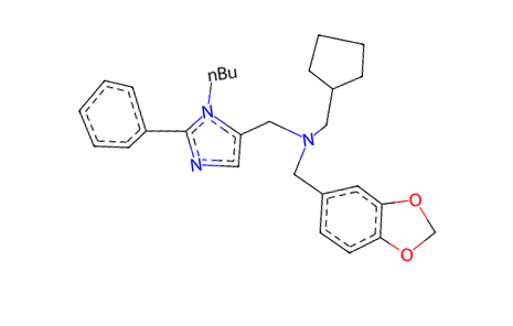 CCCCn1c(CN(Cc2ccc3c(c2)OCO3)CC2CCCC2)cnc1-c1ccccc1